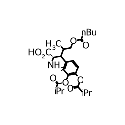 CCCCC(=O)OCC(C)C(c1ccc(OC(=O)C(C)C)c(OC(=O)C(C)C)c1)[C@H](N)C(=O)O